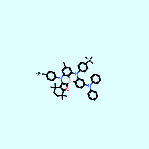 Cc1cc2c3c(c1)N(c1ccc(C(C)(C)C)cc1)c1c(oc4c1C(C)(C)CCC4(C)C)B3c1ccc(N(c3ccccc3)c3ccccc3)cc1N2c1ccc([Si](C)(C)C)cc1